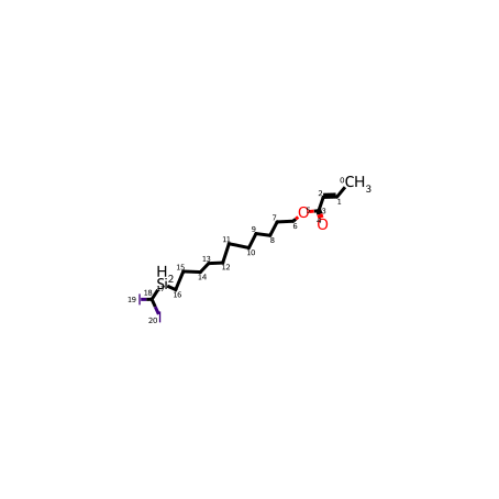 CC=CC(=O)OCCCCCCCCCCC[SiH2]C(I)I